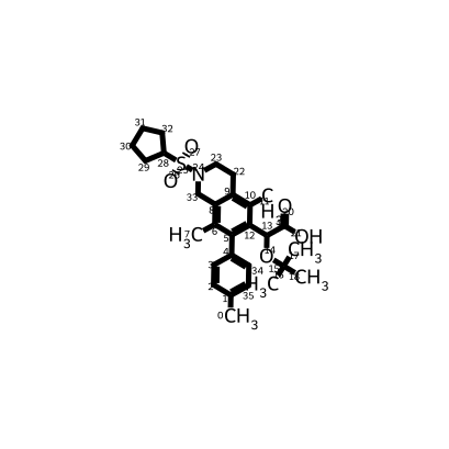 Cc1ccc(-c2c(C)c3c(c(C)c2C(OC(C)(C)C)C(=O)O)CCN(S(=O)(=O)C2CCCC2)C3)cc1